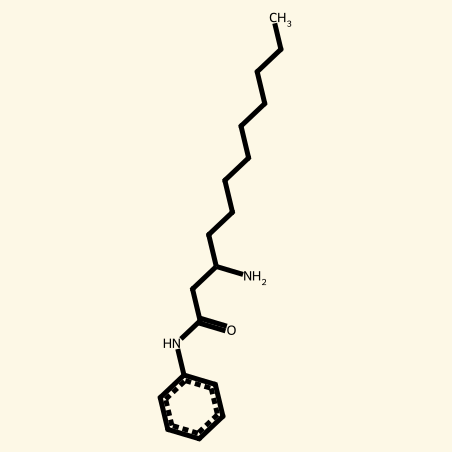 CCCCCCCCCC(N)CC(=O)Nc1ccccc1